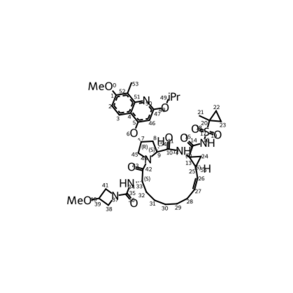 COc1ccc2c(O[C@@H]3C[C@H]4C(=O)N[C@]5(C(=O)NS(=O)(=O)C6(C)CC6)C[C@H]5C=CCCCCC[C@H](NC(=O)N5CC(OC)C5)C(=O)N4C3)cc(OC(C)C)nc2c1C